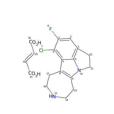 Fc1cc2c3c(c1Cl)c1c(n3CC2)CCNCC1.O=C(O)C=CC(=O)O